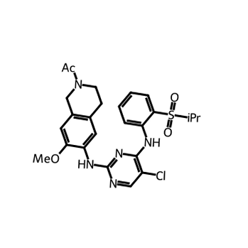 COc1cc2c(cc1Nc1ncc(Cl)c(Nc3ccccc3S(=O)(=O)C(C)C)n1)CCN(C(C)=O)C2